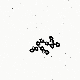 c1ccc(-c2c3cccc(-c4ccc(-c5cccc(-c6cccc(N(c7ccc8c(c7)oc7ccccc78)c7ccc8c(c7)oc7ccccc78)c6)c5)cc4)c3n3cc4ccccc4cc23)cc1